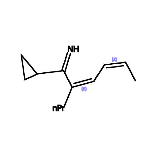 C/C=C\C=C(\CCC)C(=N)C1CC1